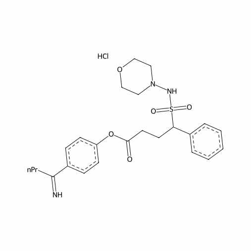 CCCC(=N)c1ccc(OC(=O)CCC(c2ccccc2)S(=O)(=O)NN2CCOCC2)cc1.Cl